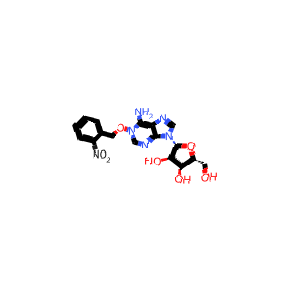 NC1=c2ncn([C@@H]3O[C@H](CO)[C@@H](O)[C@H]3O)c2=NCN1OCc1ccccc1[N+](=O)[O-]